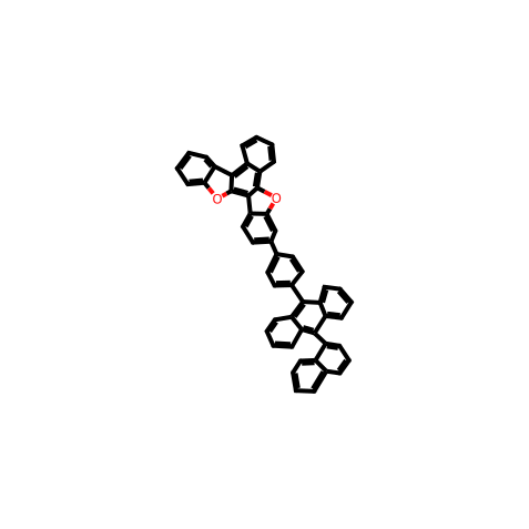 c1ccc2c(-c3c4ccccc4c(-c4ccc(-c5ccc6c(c5)oc5c7ccccc7c7c8ccccc8oc7c65)cc4)c4ccccc34)cccc2c1